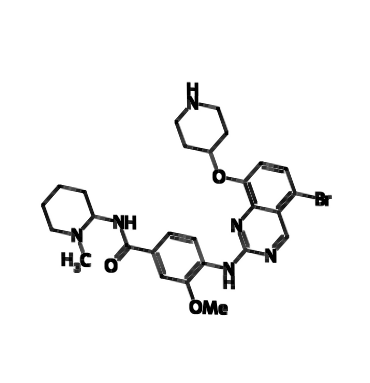 COc1cc(C(=O)NC2CCCCN2C)ccc1Nc1ncc2c(Br)ccc(OC3CCNCC3)c2n1